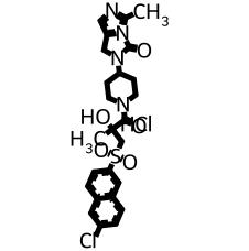 Cc1ncc2n1C(=O)N(C1CCN(C(=O)C(C)(O)CS(=O)(=O)c3ccc4cc(Cl)ccc4c3)CC1)C2.Cl